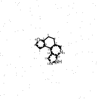 c1cc2c(o1)CCc1cnc3[nH]ncc3c1-2